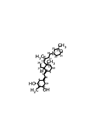 C=C1[C@H](O)CC(=C/C=C2\CCC[C@]3(C)[C@@H]([C@H](C)CCN4CCO[C@@H](C)C4)CC[C@@H]23)C[C@H]1O